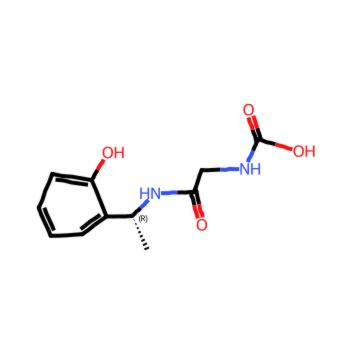 C[C@@H](NC(=O)CNC(=O)O)c1ccccc1O